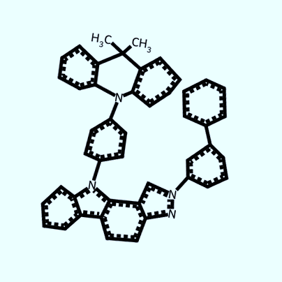 CC1(C)c2ccccc2N(c2ccc(-n3c4ccccc4c4ccc5nn(-c6cccc(-c7ccccc7)c6)cc5c43)cc2)c2ccccc21